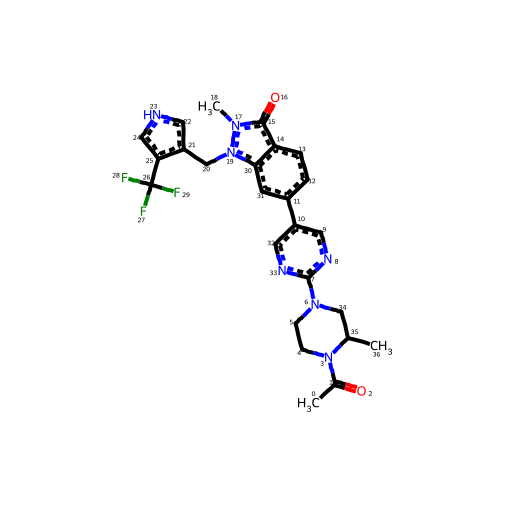 CC(=O)N1CCN(c2ncc(-c3ccc4c(=O)n(C)n(Cc5c[nH]cc5C(F)(F)F)c4c3)cn2)CC1C